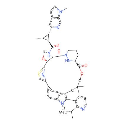 CCO[C@@H]1c2nc(cs2)-c2ccc3c(c2)c(c(-c2cccnc2[C@H](C)OC)n3CC)CC(C)(C)COC(=O)[C@@H]2CCCN(N2)C(=O)[C@H]1NC(=O)[C@H]1[C@H](C)[C@@H]1c1cc2ccn(C)c2cn1